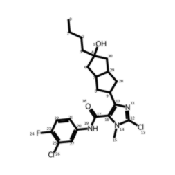 CCCCC1(O)CC2CC(c3nc(Cl)n(C)c3C(=O)Nc3ccc(F)c(Cl)c3)CC2C1